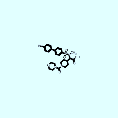 CN(C(C(=O)O)C1CCN(C(=O)N2CCOCC2)CC1)S(=O)(=O)c1ccc(-c2ccc(Br)cc2)cc1